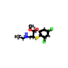 CCNC=C(Sc1ccc(Cl)cc1Cl)C(=O)OC